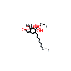 CCCCCCCC1=CC2=CC(=O)O[C@@H]2[C@@](C)(O)[C@@]1(O)C(=O)OC